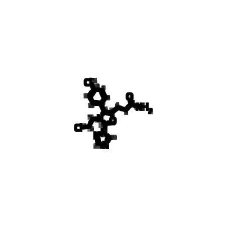 NC(=O)CCC1=C(c2ccc(Cl)cc2)N(CCCl)C(n2cncn2)O1